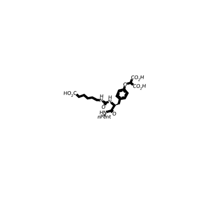 CCCCCNC(=O)[C@H](Cc1ccc(OC(C(=O)O)C(=O)O)cc1)NC(=O)NCCCCCC(=O)O